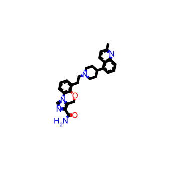 Cc1ccc2c(C3CCN(CCc4cccc5c4OCc4c(C(N)=O)ncn4-5)CC3)cccc2n1